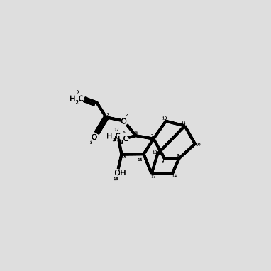 C=CC(=O)OC(C)C12CC3CC(CC(C3)C1C(C)O)C2